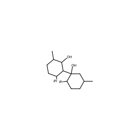 CC1CCC(C(C)C)C(O)(C2C(O)C(C)CCC2C(C)C)C1